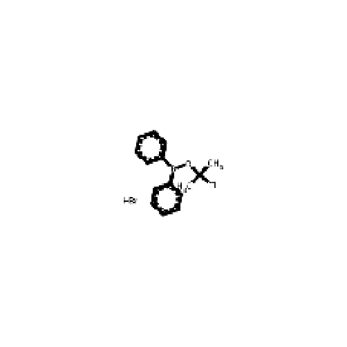 Br.CC(C)(Cl)OB(c1ccccc1)c1ccccc1